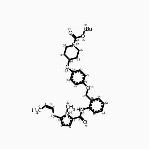 C/C=C\Sc1ccc(C(=O)Nc2ccccc2COc2ccc(OC3CCN(C(=O)OC(C)(C)C)CC3)cc2)n1C